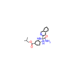 CC(C)COC(=O)c1ccc2c(c1)NC(C(N)=O)(c1cc3ccccc3cn1)N2